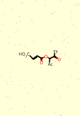 CCC(=O)C(OC(=O)C=CC(=O)O)C(C)=O